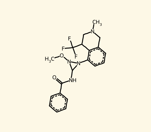 CON1C(NC(=O)c2ccccc2)N1c1cccc2c1C(C(F)(F)F)CN(C)C2